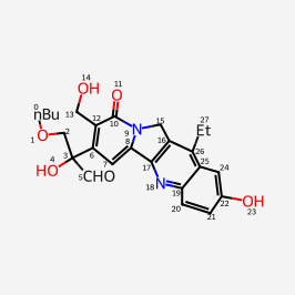 CCCCOCC(O)(C=O)c1cc2n(c(=O)c1CO)Cc1c-2nc2ccc(O)cc2c1CC